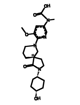 COc1cc(N(C)C(=O)O)cnc1N1CCC[C@]2(CCN([C@H]3CC[C@@H](O)CC3)C2=O)C1